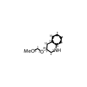 COCO[C@H]1CNc2ccccc2C1